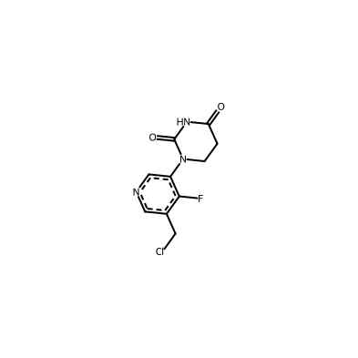 O=C1CCN(c2cncc(CCl)c2F)C(=O)N1